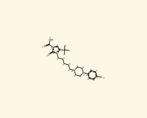 CC(C)(C)c1cn(C(=O)O)c(=O)n1CCCCCN1CCN(c2ccc(F)cc2)CC1